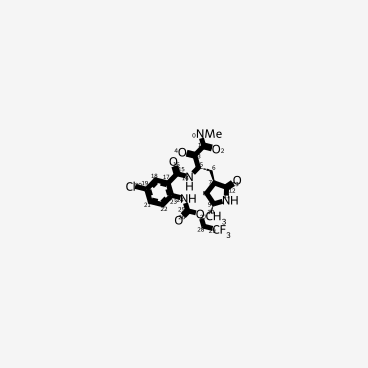 CNC(=O)C(=O)[C@H](C[C@@H]1C[C@@H](C)NC1=O)NC(=O)c1cc(Cl)ccc1NC(=O)OCC(F)(F)F